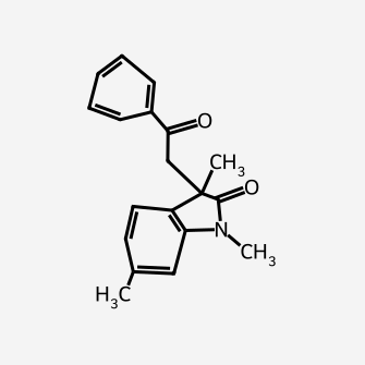 Cc1ccc2c(c1)N(C)C(=O)C2(C)CC(=O)c1ccccc1